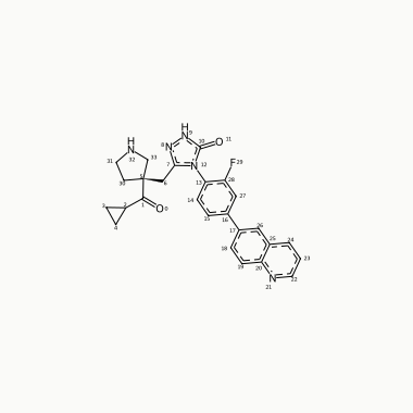 O=C(C1CC1)[C@]1(Cc2n[nH]c(=O)n2-c2ccc(-c3ccc4ncccc4c3)cc2F)CCNC1